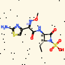 CC[C@@H]1[C@@H](NC(=O)/C(=N\OC)c2csc(N)n2)C(=O)N1S(=O)(=O)O